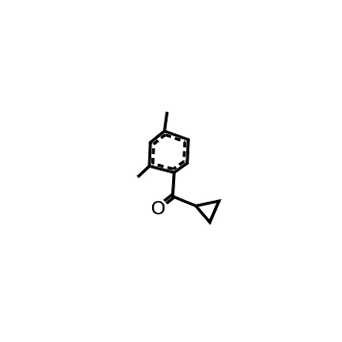 Cc1ccc(C(=O)C2CC2)c(C)c1